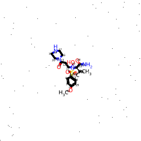 COc1ccc(S(=O)(=O)[N+](O)(CCC(=O)N2CCNCC2)[C@@H](C(N)=O)C(C)C)cc1